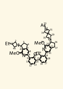 CCC1CN([C@H]2CCc3cc(-c4cccc(-c5cccc(-c6cc7c(c(OC)n6)[C@H](N6CC8(CN(C(C)=O)C8)C6)CC7)c5Cl)c4Cl)nc(OC)c32)C1